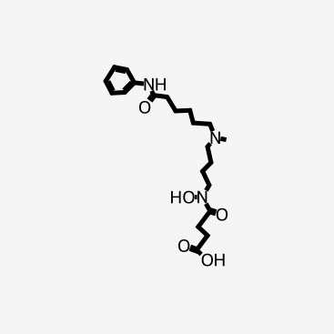 CN(CCCCCC(=O)Nc1ccccc1)CCCCN(O)C(=O)CCC(=O)O